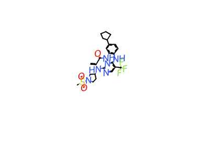 C=CC(=O)Nc1cc(C2CCCC2)ccc1Nc1nc(N[C@H]2CCN(S(C)(=O)=O)C2)ncc1C(F)(F)F